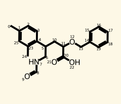 Cc1ccc(C(CNC=O)CC(OCc2ccccc2)C(=O)O)c(C)c1